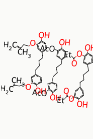 C=C(C)CCOc1cc(CCCCc2ccc(O)c(OCCC(=C)C)c2)ccc1O.CC(=O)Oc1cc(CCCCc2ccc(O)c(OC(C)=O)c2)ccc1O.CCC(=O)Oc1cc(CCCCc2ccc(O)c(OC(=O)CC)c2)ccc1O